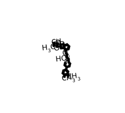 Cc1ccc(C2CCN(C[C@H](O)COc3cccc4oc(S(=O)(=O)N(C)C)cc34)CC2)cc1C